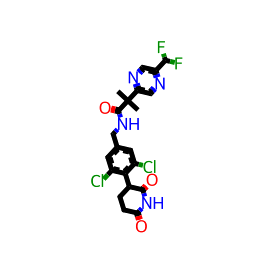 CC(C)(C(=O)NCc1cc(Cl)c(C2CCC(=O)NC2=O)c(Cl)c1)c1cnc(C(F)F)cn1